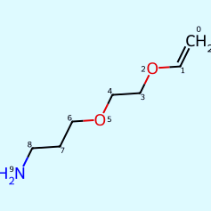 C=COCCOCCCN